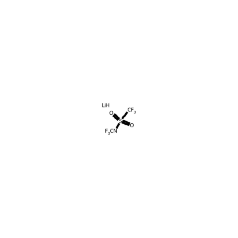 O=S(=O)(NC(F)(F)F)C(F)(F)F.[LiH]